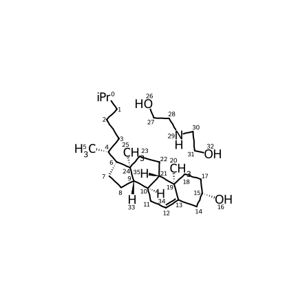 CC(C)CCC[C@@H](C)[C@H]1CC[C@H]2[C@@H]3CC=C4C[C@@H](O)CC[C@]4(C)[C@H]3CC[C@]12C.OCCNCCO